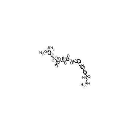 CNCCNC(=O)c1ccc(-c2cn(Cc3cccc4c3CN(C(=O)C[C@@H]3CC(C(=O)NCC(=O)N5CC(F)(F)CC5C(=O)C(=O)NCc5ccc(OC)c(OC)c5)NC3=O)C4)nn2)cc1